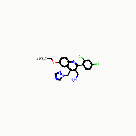 CCOC(=O)COc1ccc2nc(-c3ccc(Cl)cc3Cl)c(CN)c(Cn3cncn3)c2c1